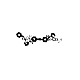 O=C(O)N1CCC[C@H]1c1nc2cc(C#Cc3ccc4[nH]c([C@@H]5CCCN5C(=O)OCc5ccccc5)nc4c3)ccc2[nH]1